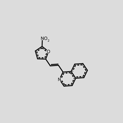 O=[N+]([O-])c1ccc(C=Cc2nccc3ccccc23)o1